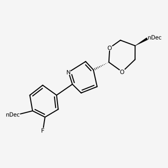 CCCCCCCCCCc1ccc(-c2ccc([C@H]3OC[C@H](CCCCCCCCCC)CO3)cn2)cc1F